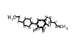 CCCC1CCC(c2cc3c(c(F)c2F)OC(CCC)CC3)CC1